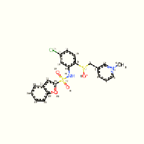 C[n+]1cccc(C[S+]([O-])c2ccc(Cl)cc2NS(=O)(=O)c2cc3ccccc3o2)c1